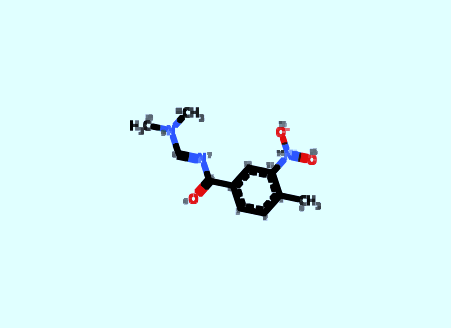 Cc1ccc(C(=O)N=CN(C)C)cc1[N+](=O)[O-]